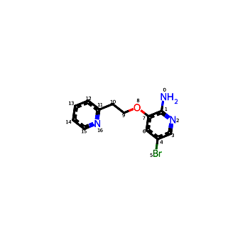 Nc1ncc(Br)cc1OCCc1ccccn1